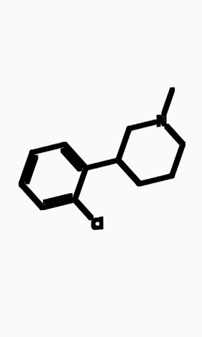 CN1CCCC(c2ccccc2Cl)C1